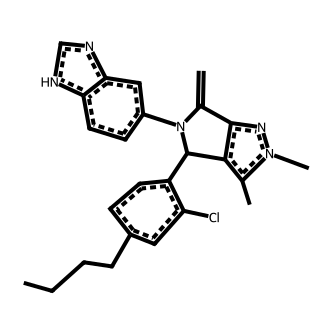 C=C1c2nn(C)c(C)c2C(c2ccc(CCCC)cc2Cl)N1c1ccc2[nH]cnc2c1